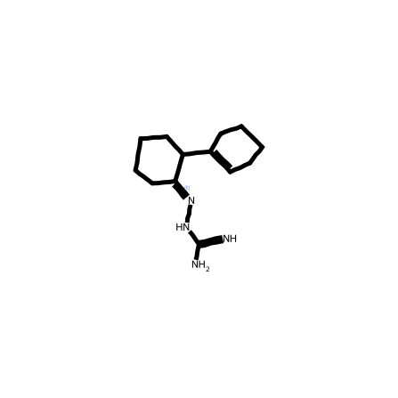 N=C(N)N/N=C1\CCCCC1C1=CCCCC1